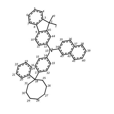 CC1(C)c2ccccc2-c2ccc(N(c3ccc(C4(c5ccccc5)CCCCCCC4)cc3)c3ccc4ccccc4c3)cc21